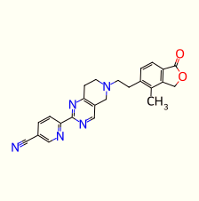 Cc1c(CCN2CCc3nc(-c4ccc(C#N)cn4)ncc3C2)ccc2c1COC2=O